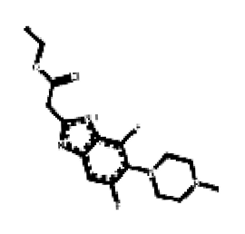 CCOC(=O)Cc1nc2cc(F)c(N3CCN(C)CC3)c(F)c2[nH]1